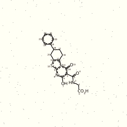 O=C(O)CNC(=O)c1c(O)nc2sc3c(n2c1=O)CCC(c1ccccc1)C3